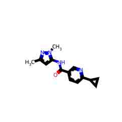 Cc1cc(NC(=O)c2ccc(C3CC3)nc2)n(C)n1